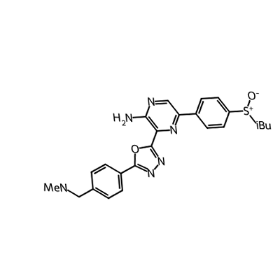 CCC(C)[S+]([O-])c1ccc(-c2cnc(N)c(-c3nnc(-c4ccc(CNC)cc4)o3)n2)cc1